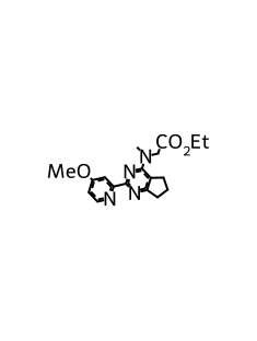 CCOC(=O)CN(C)c1nc(-c2cc(OC)ccn2)nc2c1CCC2